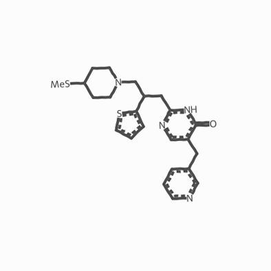 CSC1CCN(CC(Cc2ncc(Cc3cccnc3)c(=O)[nH]2)c2cccs2)CC1